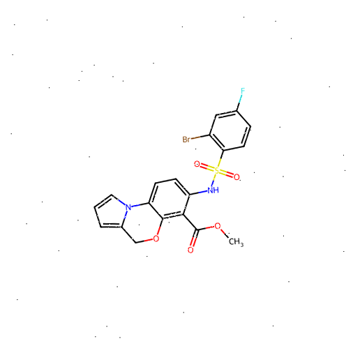 COC(=O)c1c(NS(=O)(=O)c2ccc(F)cc2Br)ccc2c1OCc1cccn1-2